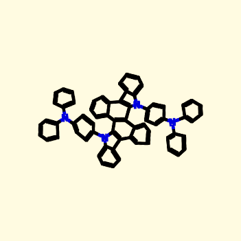 c1ccc(N(c2ccccc2)c2ccc(-n3c4ccccc4c4c5ccccc5c5c(c6ccccc6c6c7ccccc7n(-c7ccc(N(c8ccccc8)c8ccccc8)cc7)c65)c43)cc2)cc1